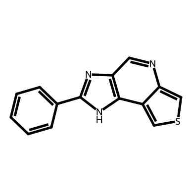 c1ccc(-c2nc3cnc4cscc4c3[nH]2)cc1